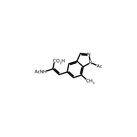 CC(=O)NC(=Cc1cc(C)c2c(cnn2C(C)=O)c1)C(=O)O